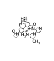 C[C@@H]1C[C@H](N)CN(c2ccncc2NC(=O)c2ccc(F)c(-c3c(F)cc(N4CCCC4=O)cc3F)c2F)C1.Cl.Cl